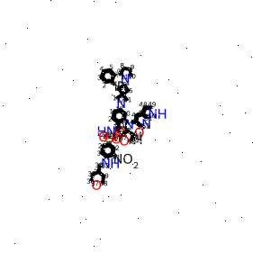 CC(C)c1ccccc1[C@@H]1CCCN1C1CC2(C1)CN(c1ccc(C(=O)NS(=O)(=O)c3ccc(NCC4CCOCC4)c([N+](=O)[O-])c3)c(N3c4cc5cc[nH]c5nc4O[C@H]4COC[C@@H]43)c1)C2